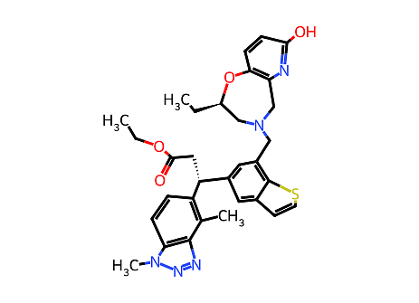 CCOC(=O)C[C@H](c1cc(CN2Cc3nc(O)ccc3O[C@H](CC)C2)c2sccc2c1)c1ccc2c(nnn2C)c1C